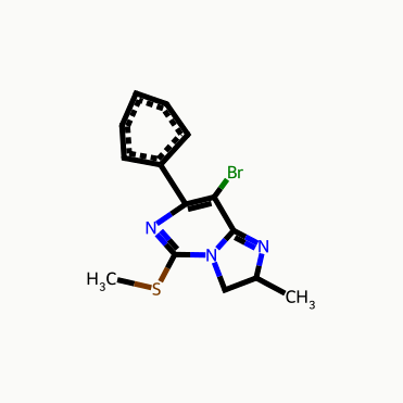 CSC1=NC(c2ccccc2)=C(Br)C2=NC(C)CN12